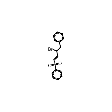 O=S(=O)(C=CC(Br)Cc1ccccc1)c1ccccc1